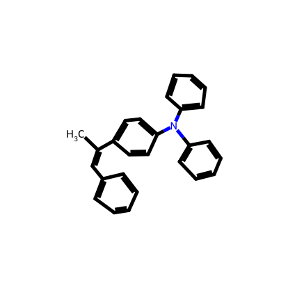 CC(=Cc1ccccc1)c1ccc(N(c2ccccc2)c2ccccc2)cc1